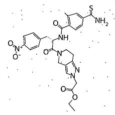 CCOC(=O)Cn1cc2c(n1)CCN(C(=O)[C@H](Cc1ccc([N+](=O)[O-])cc1)NC(=O)c1ccc(C(N)=S)cc1C)C2